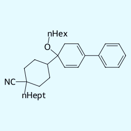 CCCCCCCC1(C#N)CCC(C2(OCCCCCC)C=CC(c3ccccc3)=CC2)CC1